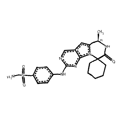 C[C@H]1NC(=O)C2(CCCCC2)n2c1cc1cnc(Nc3ccc(S(N)(=O)=O)cc3)nc12